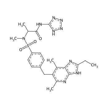 CCc1nc2c(C)c(Cc3ccc(S(=O)(=O)N(C)C(C)C(=O)Nc4nnn[nH]4)cc3)c(C)nc2[nH]1